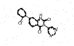 O=c1[nH]c2cc(-c3ccccc3Cl)ccc2c(=O)n1-c1cncnc1